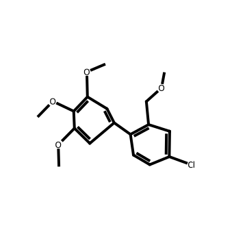 COCc1cc(Cl)ccc1-c1cc(OC)c(OC)c(OC)c1